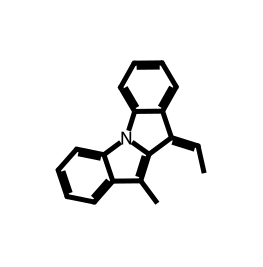 C/C=c1/c2ccccc2n2c1c(C)c1ccccc12